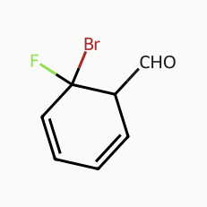 O=CC1C=CC=CC1(F)Br